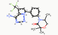 CC1COC(C)(C)C(=O)N1c1cccc(-c2cc(C(F)(F)F)c3c(N)ncnn23)c1